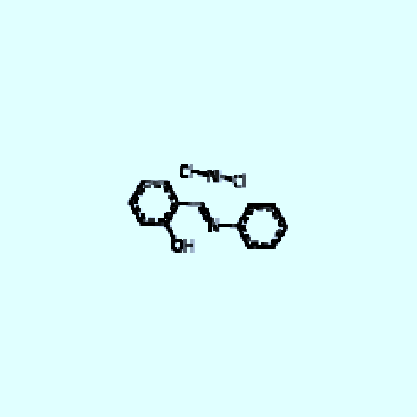 Oc1ccccc1C=Nc1ccccc1.[Cl][Ni][Cl]